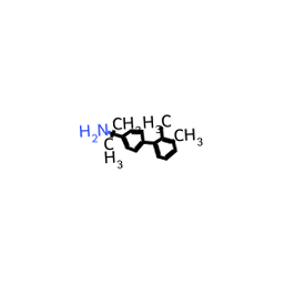 CCc1c(C)cccc1-c1ccc(C(C)(C)N)cc1